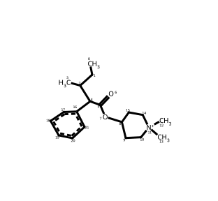 CCC(C)C(C(=O)OC1CC[N+](C)(C)CC1)c1ccccc1